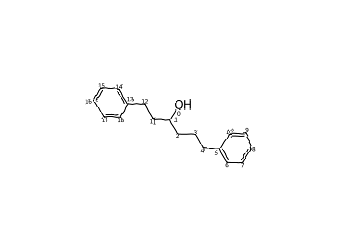 OC(CCCc1ccccc1)CCc1ccccc1